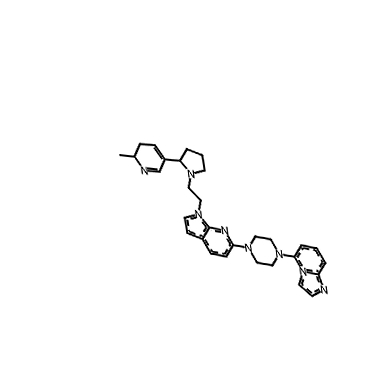 CC1CC=C(C2CCCN2CCn2ccc3ccc(N4CCN(c5cccc6nccn56)CC4)nc32)C=N1